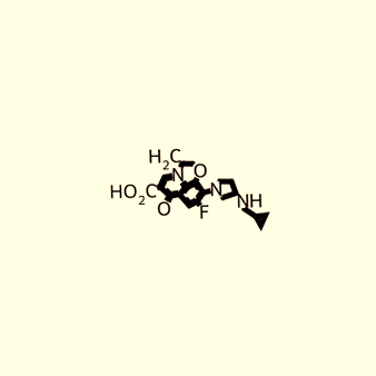 C=C1COc2c(N3CC[C@H](NCC4CC4)C3)c(F)cc3c(=O)c(C(=O)O)cn1c23